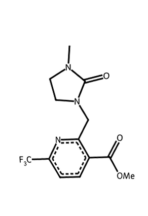 COC(=O)c1ccc(C(F)(F)F)nc1CN1CCN(C)C1=O